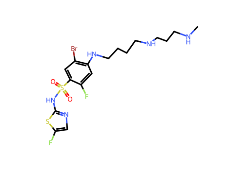 CNCCCNCCCCNc1cc(F)c(S(=O)(=O)Nc2ncc(F)s2)cc1Br